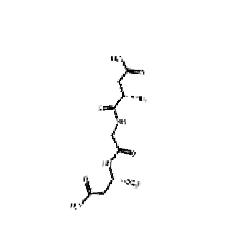 NC(=O)C[C@H](NC(=O)CNC(=O)[C@@H](N)CC(N)=O)C(=O)O